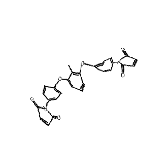 Cc1c(Oc2ccc(N3C(=O)C=CC3=O)cc2)cccc1Oc1ccc(N2C(=O)C=CC2=O)cc1